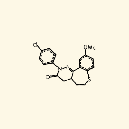 COc1ccc2c(c1)C1=NN(c3ccc(Cl)cc3)C(=O)CC1CCS2